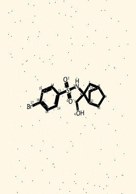 O=S(=O)(NC1(CO)CC2CCC1C2)c1ccc(Br)cc1